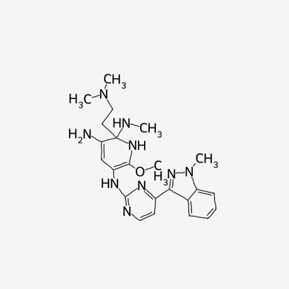 CNC1(CCN(C)C)NC(OC)=C(Nc2nccc(-c3nn(C)c4ccccc34)n2)C=C1N